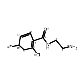 NCCNC(=O)C1=C(Cl)CC(F)C=C1